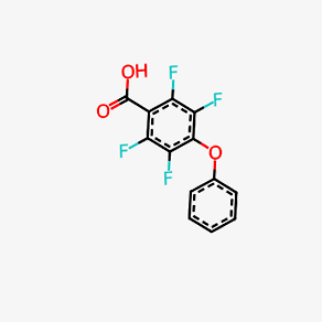 O=C(O)c1c(F)c(F)c(Oc2ccccc2)c(F)c1F